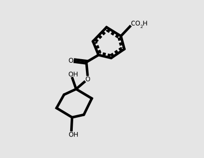 O=C(O)c1ccc(C(=O)OC2(O)CCC(O)CC2)cc1